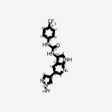 CC(C)n1cc(-c2cnc3[nH]cc(NC(=O)Nc4ccc(C(F)(F)F)cc4)c3c2)cn1